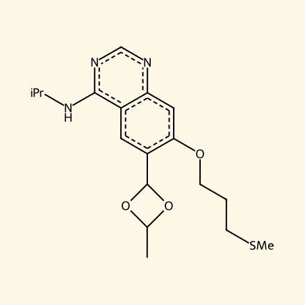 CSCCCOc1cc2ncnc(NC(C)C)c2cc1C1OC(C)O1